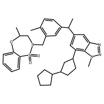 Cc1ccc(C(C)c2cc(C3CCC(C4CCCC4)C3)c3c(c2)nnn3C)cc1CN1CC(C)Oc2ccccc2S1(=O)=O